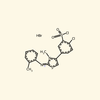 Br.Cc1ccccc1/N=c1/scc(-c2ccc(Cl)c(S(=O)(=O)Cl)c2)n1C